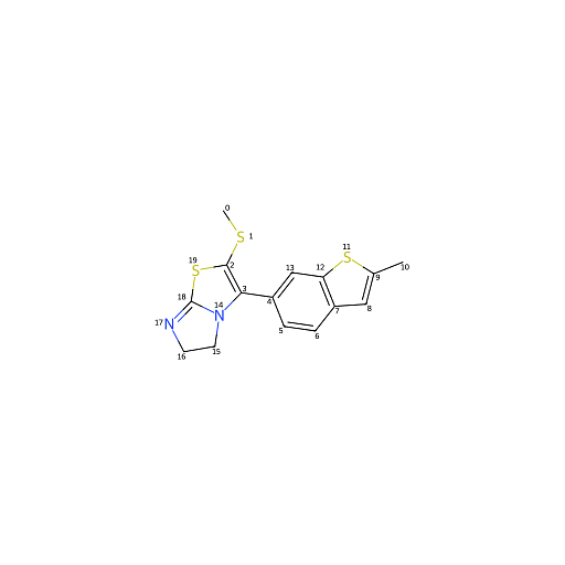 CSC1=C(c2ccc3cc(C)sc3c2)N2CCN=C2S1